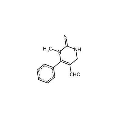 CN1C(=S)NCC(C=O)=C1c1ccccc1